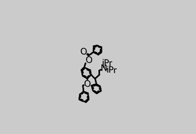 CC(C)N(CCC(c1ccccc1)c1cc(COC(=O)c2ccccc2)ccc1OCc1ccccc1)C(C)C